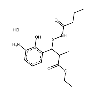 CCCC(=O)NSC(c1cccc(N)c1O)C(C)C(=O)OCC.Cl